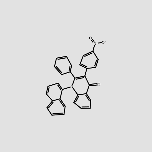 O=c1c(-c2ccc([N+](=O)[O-])cc2)c(-c2ccccc2)n(-c2cccc3ccccc23)c2ccccc12